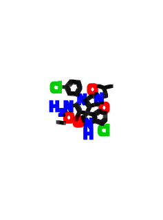 CCOC(=O)C1=C(N)N(c2cccc(Cl)c2)C2=C(C(=O)N(CC(C)C)C2=O)[C@]12C(=O)Nc1c(Cl)cccc12